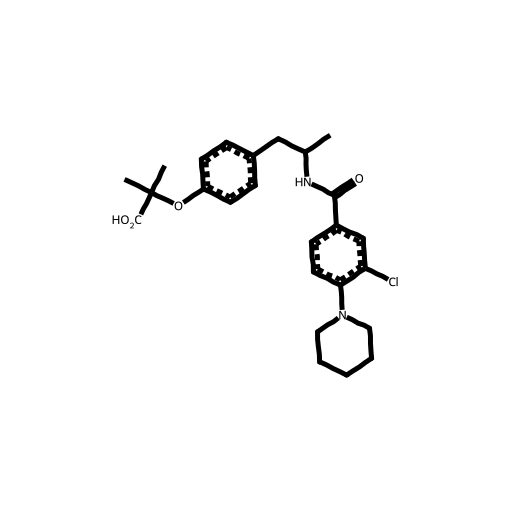 CC(Cc1ccc(OC(C)(C)C(=O)O)cc1)NC(=O)c1ccc(N2CCCCC2)c(Cl)c1